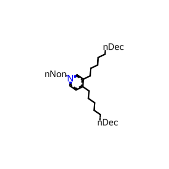 CCCCCCCCCCCCCCCc1cc[n+](CCCCCCCCC)cc1CCCCCCCCCCCCCCC